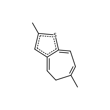 CC1=CC=c2sc(C)cc2=CC1